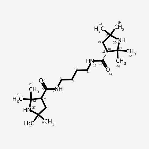 CC1(C)CC(C(=O)NCCCCNC(=O)[C@@H]2CC(C)(C)NC2(C)C)C(C)(C)N1